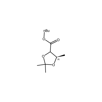 CCCCOC(=O)C1OC(C)(C)O[C@@H]1C